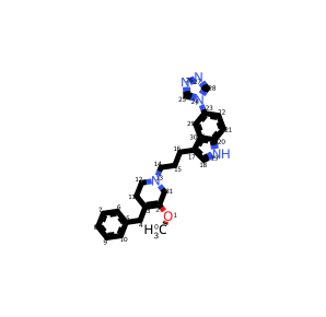 COC1=C(Cc2ccccc2)CCN(CCCc2c[nH]c3ccc(-n4cnnc4)cc23)C1